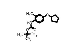 Cc1cc(OC2CCCC2)ccc1NC(=O)OC(C)(C)C